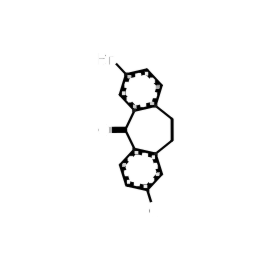 O=C1c2ccc(Cl)cc2CCc2ccc(Br)cc21